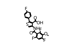 COc1c(F)cc(F)c(C(=O)Nc2csc(-c3ccc(F)cc3)c2C(=O)O)c1F